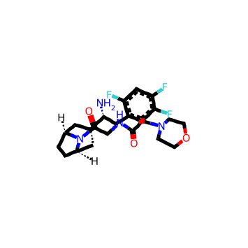 N[C@H](Cc1cc(F)c(F)cc1F)[C@@H]1C[C@H]2CC[C@@H](C1)N2C(=O)CNC(=O)CN1CCOCC1